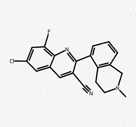 CN1CCc2c(cccc2-c2nc3c(F)cc(Cl)cc3cc2C#N)C1